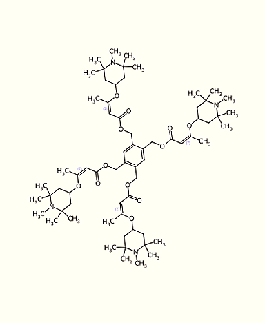 C/C(=C/C(=O)OCc1cc(COC(=O)/C=C(/C)OC2CC(C)(C)N(C)C(C)(C)C2)c(COC(=O)/C=C(/C)OC2CC(C)(C)N(C)C(C)(C)C2)cc1COC(=O)/C=C(/C)OC1CC(C)(C)N(C)C(C)(C)C1)OC1CC(C)(C)N(C)C(C)(C)C1